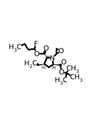 C=C[C@@H]1C[C@H](C(=O)OC(C)(C)C)N(C2CO2)[C@H]1C(=O)OC(F)CCC